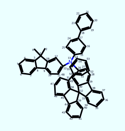 CC1(C)c2ccccc2-c2ccc(N(c3ccc(-c4ccccc4)cc3)c3ccc4c(c3)C3(c5ccccc5-4)c4ccccc4-c4cccc(-c5ccccc5)c43)cc21